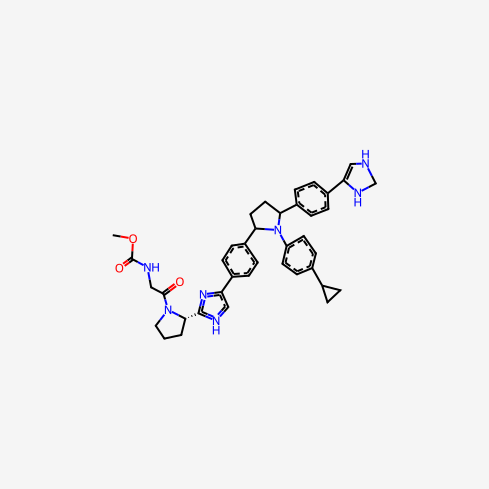 COC(=O)NCC(=O)N1CCC[C@H]1c1nc(-c2ccc(C3CCC(c4ccc(C5=CNCN5)cc4)N3c3ccc(C4CC4)cc3)cc2)c[nH]1